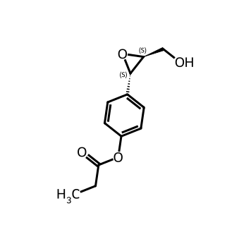 CCC(=O)Oc1ccc([C@@H]2O[C@H]2CO)cc1